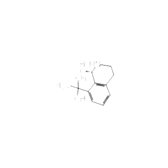 C[C@H]1NCCc2cccc(C(C)(C)C)c21